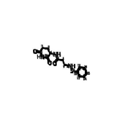 O=C1CCC(NC(=O)CCNSc2ccccc2)C(=O)N1